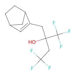 OC(CC1=CC2CCC1C2)(CC(F)(F)F)C(F)(F)F